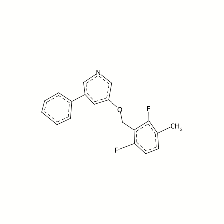 Cc1ccc(F)c(COc2cncc(-c3ccccc3)c2)c1F